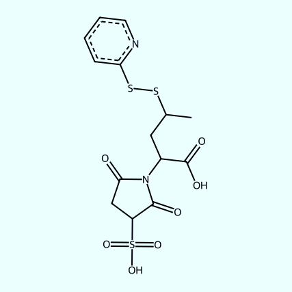 CC(CC(C(=O)O)N1C(=O)CC(S(=O)(=O)O)C1=O)SSc1ccccn1